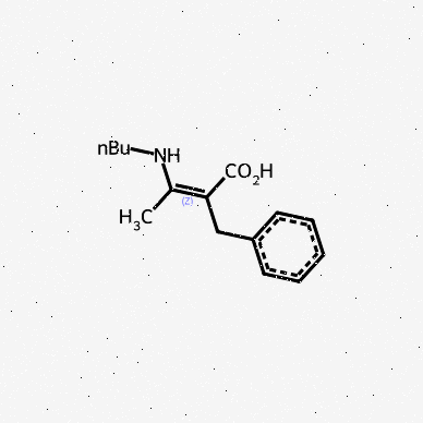 CCCCN/C(C)=C(/Cc1ccccc1)C(=O)O